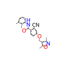 Cc1cccc(NC(=O)c2ccc(OCc3c(C)noc3C)cc2C#N)c1C